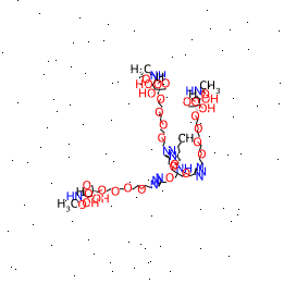 C#CCCCCC(=O)NC(COCc1cn(CCOCCOCCOCCOC[C@]23CO[C@@H](O2)[C@H](NC(C)=O)[C@@H](O)[C@H]3O)nn1)(COCc1cn(CCOCCOCCOCCOC[C@]23CO[C@@H](O2)[C@H](NC(C)=O)[C@@H](O)[C@H]3O)nn1)COCc1cn(CCOCCOCCOCCOC[C@]23CO[C@@H](O2)[C@H](NC(C)=O)[C@@H](O)[C@H]3O)nn1